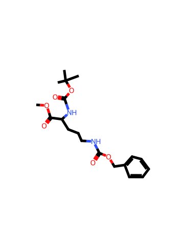 COC(=O)C(CCCNC(=O)OCc1ccccc1)NC(=O)OC(C)(C)C